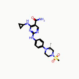 C[C@@H]1CN(S(C)(=O)=O)CCN1c1ccc(Nc2ncc(C(N)=O)c(NC3CC3)n2)cc1